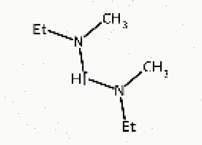 CC[N](C)[Hf][N](C)CC